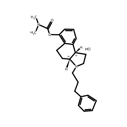 CN(C)C(=O)Oc1cccc2c1CC[C@@H]1[C@H]2CCN1CCCc1ccccc1.Cl